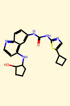 O=C(Nc1ccc2nccc(NC3CCCC3O)c2c1)Nc1ncc(C2CCC2)s1